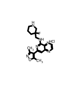 Cc1noc(C)c1-c1cc2nccnc2c(NCC2(F)CCCNC2)n1.Cl